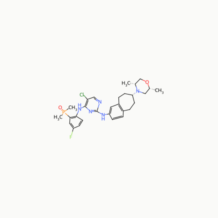 C[C@@H]1CN([C@@H]2CCc3ccc(Nc4ncc(Cl)c(Nc5ccc(F)cc5P(C)(C)=O)n4)cc3CC2)[C@H](C)CO1